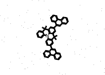 CC1(C)c2ccccc2N2c3ccc(-c4cc5ccccc5c5ccccc45)cc3C(C)(C)c3cc(-c4cc5ccccc5c5ccccc45)cc1c32